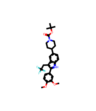 COc1ccc(-c2[nH]c3ccc(C4CCN(C(=O)OC(C)(C)C)CC4)cc3c2CC(F)(F)F)cc1OC